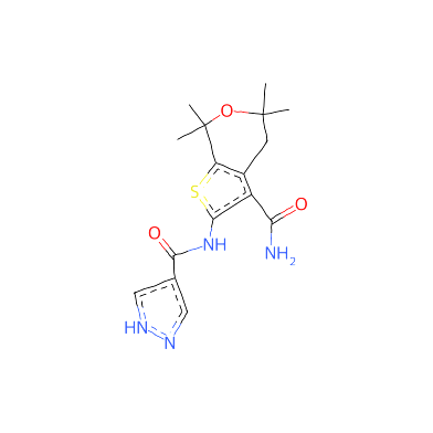 CC1(C)Cc2c(sc(NC(=O)c3cn[nH]c3)c2C(N)=O)C(C)(C)O1